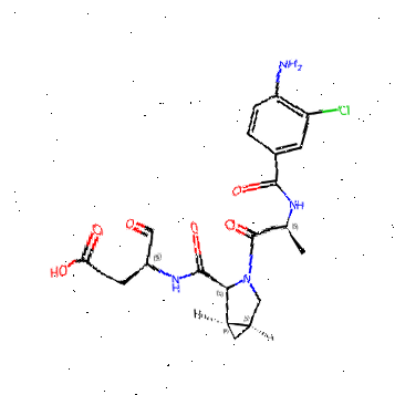 C[C@H](NC(=O)c1ccc(N)c(Cl)c1)C(=O)N1C[C@H]2C[C@H]2[C@H]1C(=O)N[C@H](C=O)CC(=O)O